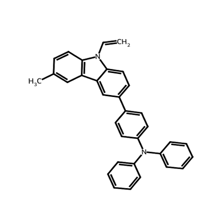 C=Cn1c2ccc(C)cc2c2cc(-c3ccc(N(c4ccccc4)c4ccccc4)cc3)ccc21